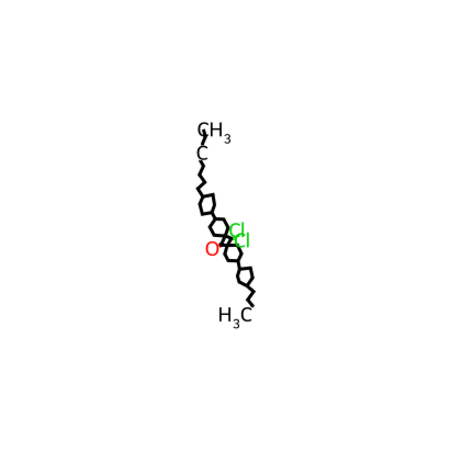 CCCCCCCCCC1CCC(C2CCC3(CC2)C(=O)C2(CCC(C4CCC(CCCC)CC4)CC2)C3(Cl)Cl)CC1